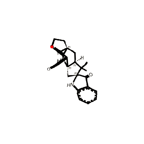 CC1(C)[C@@H]2C[C@@]34CCCN3C(=O)[C@]2(C[C@@]12Nc1ccccc1C2=O)NC4=O